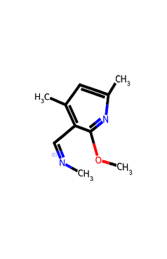 C/N=C\c1c(C)cc(C)nc1OC